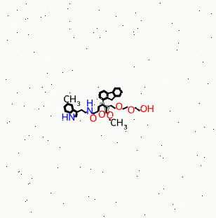 CCO[C@H]1OC(C(=O)NCCc2c[nH]c3ccc(C)cc23)=C[C@@H](c2cccc3c2Cc2ccccc2-3)[C@H]1CCOCCOCCO